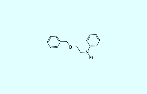 CCN(CCOCc1ccccc1)c1ccccc1